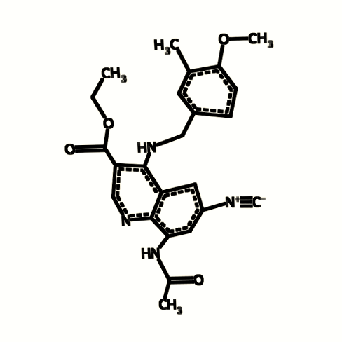 [C-]#[N+]c1cc(NC(C)=O)c2ncc(C(=O)OCC)c(NCc3ccc(OC)c(C)c3)c2c1